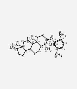 CCC1CCC2C3CCC4C(C)(C)C(Oc5cc(C)ccc5N)CCC4(C)C3CCC12C